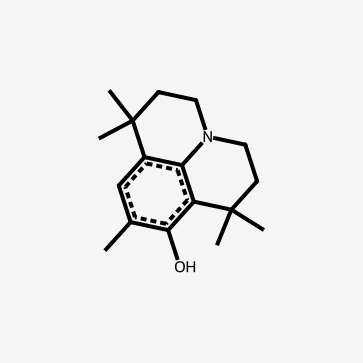 Cc1cc2c3c(c1O)C(C)(C)CCN3CCC2(C)C